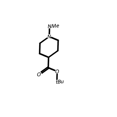 CNN1CCC(C(=O)OC(C)(C)C)CC1